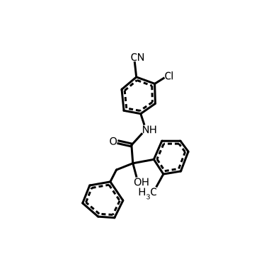 Cc1ccccc1C(O)(Cc1ccccc1)C(=O)Nc1ccc(C#N)c(Cl)c1